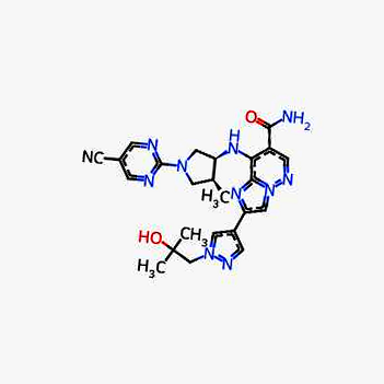 C[C@H]1CN(c2ncc(C#N)cn2)C[C@H]1Nc1c(C(N)=O)cnn2cc(-c3cnn(CC(C)(C)O)c3)nc12